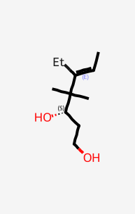 C/C=C(\CC)C(C)(C)[C@@H](O)CCO